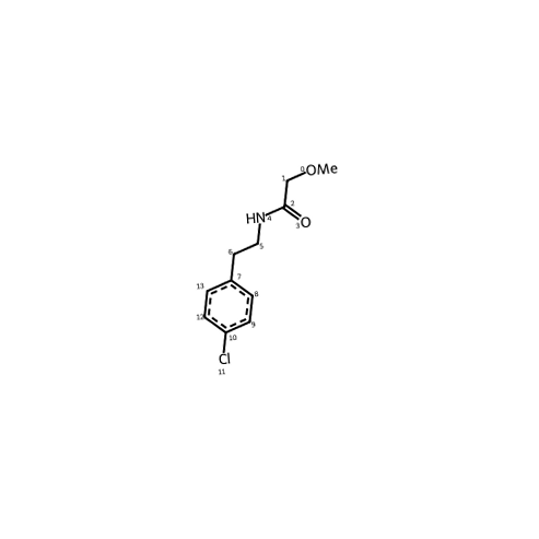 COCC(=O)NCCc1ccc(Cl)cc1